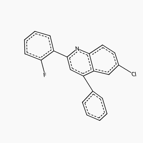 Fc1ccccc1-c1cc(-c2ccccc2)c2cc(Cl)ccc2n1